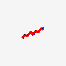 c1ccc(-c2nc3c(ccc4ccc(-c5ccc(-c6ccc7ccc(-c8ccc9ccc(-c%10cccnc%10)nc9c8)cc7n6)cc5)nc43)cc2-c2cncc(-c3ccc4ccc(-c5ccc6ccc(-c7ccc(-c8ccnc9c8ccc8cccnc89)cc7)nc6c5)cc4n3)c2)cc1